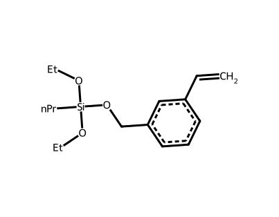 C=Cc1cccc(CO[Si](CCC)(OCC)OCC)c1